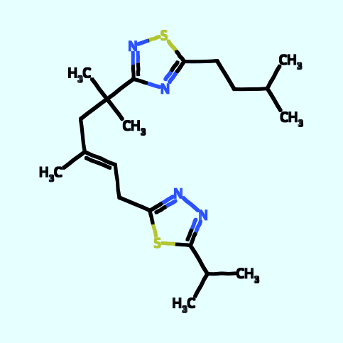 C/C(=C\Cc1nnc(C(C)C)s1)CC(C)(C)c1nsc(CCC(C)C)n1